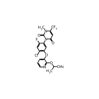 CC(=O)OC(C)Oc1ncccc1Oc1cc(-n2c(=O)cc(C(F)(F)F)n(C)c2=O)c(F)cc1Cl